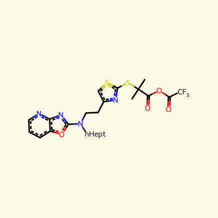 CCCCCCCN(CCc1csc(SC(C)(C)C(=O)OC(=O)C(F)(F)F)n1)c1nc2ncccc2o1